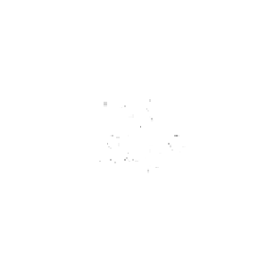 COC(=O)[C@H](C)NP(=S)(OC[C@@]1(C#N)O[C@@H](c2ccc3c(N)ccnn23)[C@H](OC(=O)C(C)C)[C@@H]1OC(=O)C(C)C)Oc1ccccc1